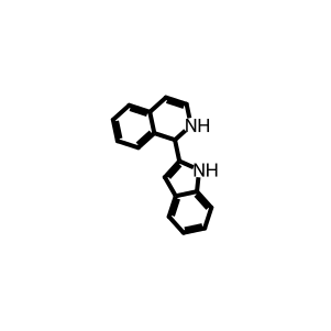 C1=Cc2ccccc2C(c2cc3ccccc3[nH]2)N1